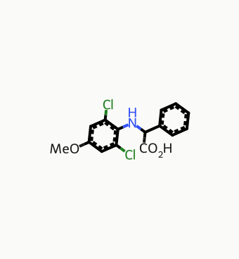 COc1cc(Cl)c(NC(C(=O)O)c2ccccc2)c(Cl)c1